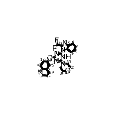 FC(F)c1nc2ccccc2n1C1=NC(Oc2ccc3ncccc3c2)=NC(N2CCOCC2)N1